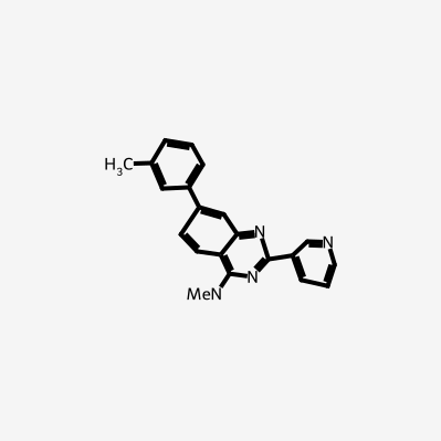 CNc1nc(-c2cccnc2)nc2cc(-c3cccc(C)c3)ccc12